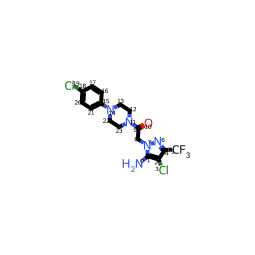 Nc1c(Cl)c(C(F)(F)F)nn1CC(=O)N1CCN(c2ccc(Cl)cc2)CC1